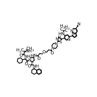 CN[C@@H](C)C(=O)N[C@H](C(=O)N1C[C@@H](NC(=O)CCOCCC(=O)N2CCN(c3nnc(-c4cnc(-c5ccc6cc(C#N)cnn56)cc4NC(C)C)s3)CC2)C[C@H]1C(=O)N[C@@H]1CCCc2ccccc21)C1CCCCC1